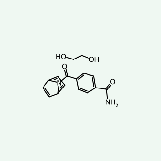 NC(=O)c1ccc(C(=O)n2c3ccc2cc3)cc1.OCCO